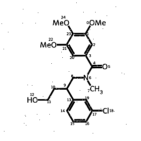 COc1cc(C(=O)N(C)CC(CCO)c2cccc(Cl)c2)cc(OC)c1OC